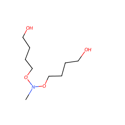 CN(OCCCCO)OCCCCO